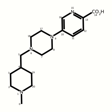 CN1CCC(CN2CCN(c3ccc(C(=O)O)nc3)CC2)CC1